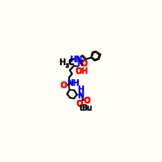 CC(CCCNC(=O)C1CCCC(NC(=O)OC(C)(C)C)C1)C(O)N1NC=C(c2ccccc2)O1